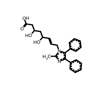 Cc1nc(-c2ccccc2)c(-c2ccccc2)n1C/C=C/C(O)CC(O)CC(=O)O